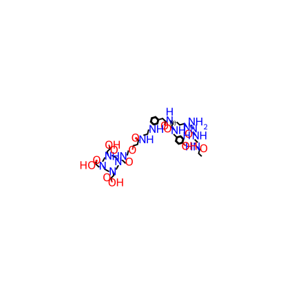 CCC(=O)NCCNC(=O)/N=C(/N)NCCC[C@@H](NC(=O)Cc1cccc(NCCCNC(=O)CCOCCNC(C=O)N2CCN(CC(=O)O)CCN(CC(=O)O)CCN(CC(=O)O)CC2)c1)C(=O)NCc1ccc(O)cc1